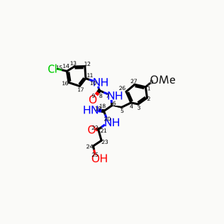 COc1ccc(C[C@H](NC(=O)Nc2ccc(Cl)cc2)C(=N)NC(=O)CCO)cc1